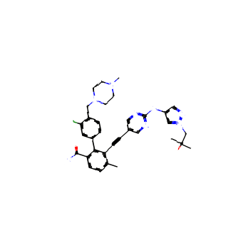 Cc1ccc(C(N)=O)c(-c2ccc(CN3CCN(C)CC3)c(F)c2)c1C#Cc1cnc(Nc2cnn(CC(C)(C)O)c2)nc1